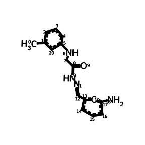 Cc1cccc(NCC(=O)N/N=C/c2cccc(N)c2)c1